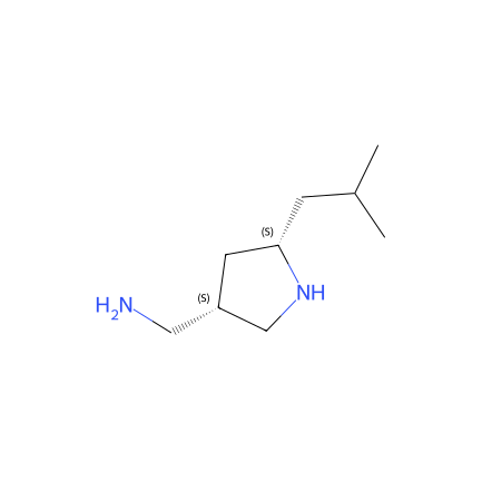 CC(C)C[C@H]1C[C@@H](CN)CN1